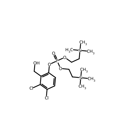 C[Si](C)(C)CCOP(=O)(OCC[Si](C)(C)C)Oc1ccc(Cl)c(Cl)c1CO